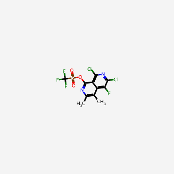 Cc1nc(OS(=O)(=O)C(F)(F)F)c2c(Cl)nc(Cl)c(F)c2c1C